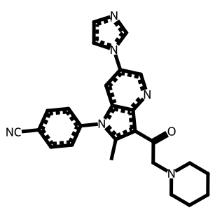 Cc1c(C(=O)CN2CCCCC2)c2ncc(-n3ccnc3)cc2n1-c1ccc(C#N)cc1